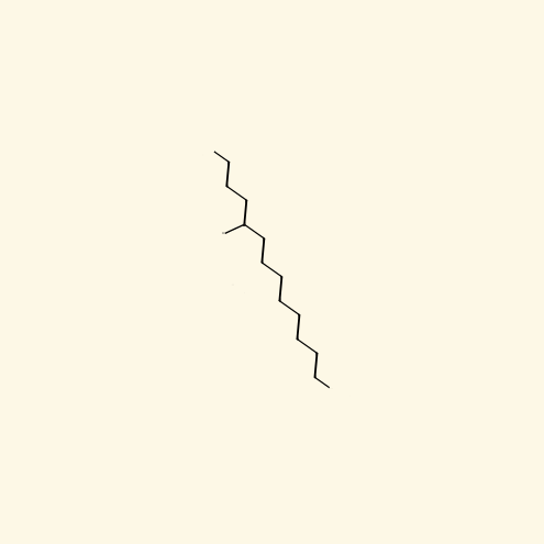 CCCCCCCCCC(Cl)CCCC.P